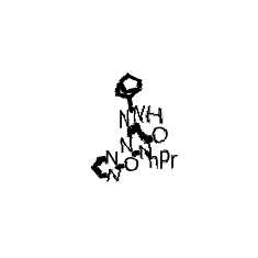 CCCn1c(Oc2ncccn2)nc2nc(C3CC4CCC3C4)[nH]c2c1=O